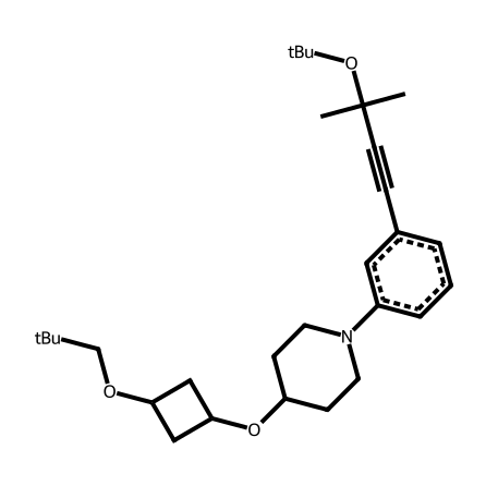 CC(C)(C)COC1CC(OC2CCN(c3cccc(C#CC(C)(C)OC(C)(C)C)c3)CC2)C1